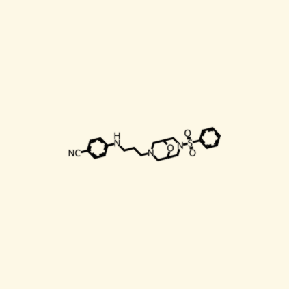 N#Cc1ccc(NCCCN2CC3CN(S(=O)(=O)c4ccccc4)CC(C2)O3)cc1